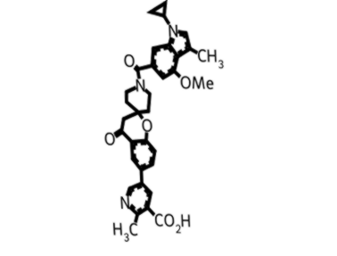 COc1cc(C(=O)N2CCC3(CC2)CC(=O)c2cc(-c4cnc(C)c(C(=O)O)c4)ccc2O3)cc2c1c(C)cn2C1CC1